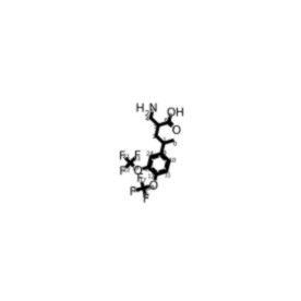 CC(CC(CN)C(=O)O)c1ccc(OC(F)(F)F)c(OC(F)(F)F)c1